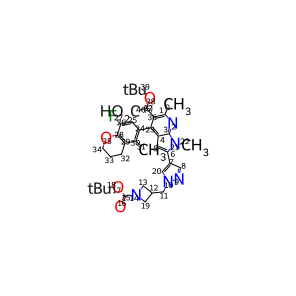 Cc1nc2c(cc(-c3cnn(CC4CN(C(=O)OC(C)(C)C)C4)c3)n2C)c(-c2cc(F)c3c(c2C)CCCO3)c1[C@H](OC(C)(C)C)C(=O)O